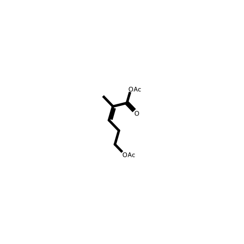 CC(=O)OCCC=C(C)C(=O)OC(C)=O